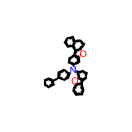 c1ccc(-c2ccc(N(c3ccc4c(c3)oc3ccc5ccccc5c34)c3cccc4c3oc3ccccc34)cc2)cc1